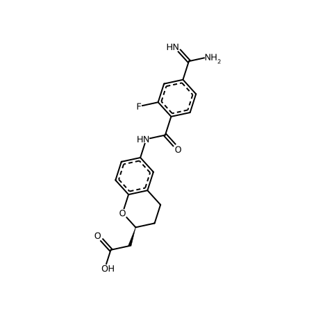 N=C(N)c1ccc(C(=O)Nc2ccc3c(c2)CC[C@@H](CC(=O)O)O3)c(F)c1